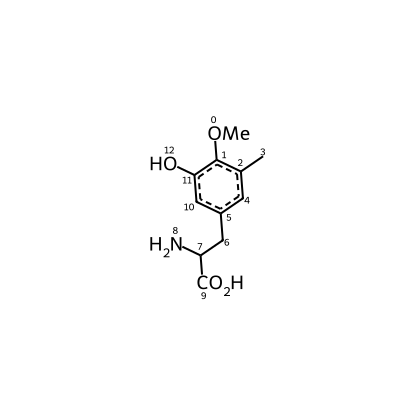 COc1c(C)cc(CC(N)C(=O)O)cc1O